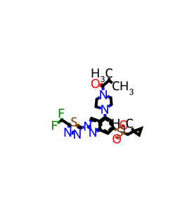 CC(C)C(=O)N1CCN(c2cc(S(=O)(=O)CC3(C)CC3)cc3nn(-c4nnc(C(F)F)s4)cc23)CC1